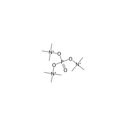 C[N+](C)(C)OP(=O)(O[N+](C)(C)C)O[N+](C)(C)C